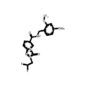 COc1ccc(CNC(=O)c2ccc3nn(CC(F)F)c(=O)n3c2)c(OC(F)(F)F)c1